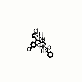 O=C(NCc1cc(C(c2ccc(Cl)s2)c2ccc(Cl)cc2Cl)[nH]n1)NC1CCCCC1